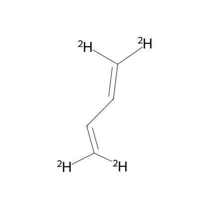 [2H]C([2H])=CC=C([2H])[2H]